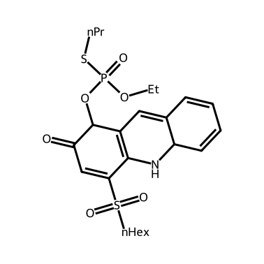 CCCCCCS(=O)(=O)C1=CC(=O)C(OP(=O)(OCC)SCCC)C2=C1NC1C=CC=CC1=C2